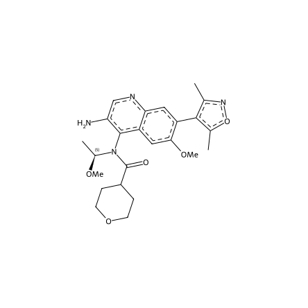 COc1cc2c(N(C(=O)C3CCOCC3)[C@H](C)OC)c(N)cnc2cc1-c1c(C)noc1C